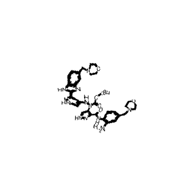 CC(C)(C)OC(=O)N(Nc1c[nH]nc1-c1nc2cc(CN3CCOCC3)ccc2[nH]1)c1c[nH]nc1C(=O)Nc1ccc(CN2CCOCC2)cc1N